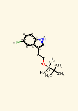 CC(C)(C)[Si](C)(C)OCCc1c[nH]c2ccc(F)cc12